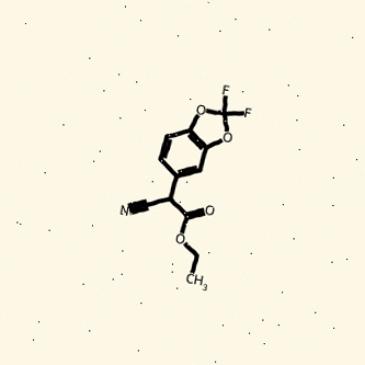 CCOC(=O)C(C#N)c1ccc2c(c1)OC(F)(F)O2